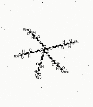 CC(C)(C)OC(=O)NCCNC(=O)CSCCCOC[C@H]1O[C@H](OCCCSCC(=O)NCCNC(=O)OC(C)(C)C)[C@H](OCCCSCC(=O)NCCNC(=O)OC(C)(C)C)[C@@H](OCCCSCC(=O)NCCNC(=O)OC(C)(C)C)[C@@H]1OCCCSCC(=O)NCCNC(=O)OC(C)(C)C